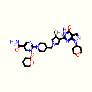 CC1CN(CC2CCN(C3=NC=C(C(N)=O)CN3OC3CCCCO3)CC2)CC1c1nc2c(cnn2C2CCOCC2)c(=O)[nH]1